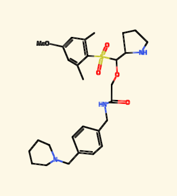 COc1cc(C)c(S(=O)(=O)C(OCC(=O)NCc2ccc(CN3CCCCC3)cc2)C2CCCN2)c(C)c1